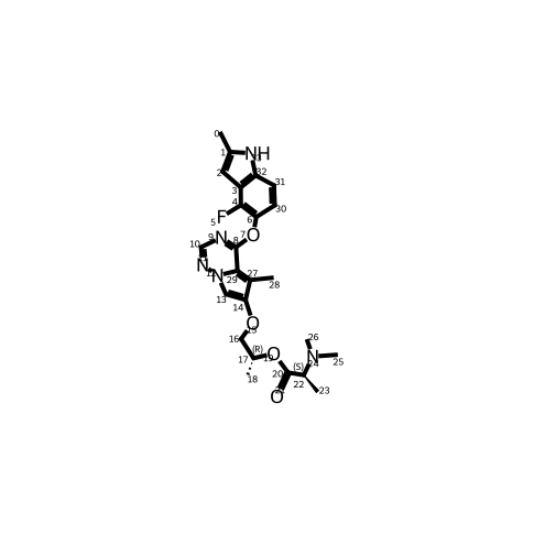 Cc1cc2c(F)c(Oc3ncnn4cc(OC[C@@H](C)OC(=O)[C@H](C)N(C)C)c(C)c34)ccc2[nH]1